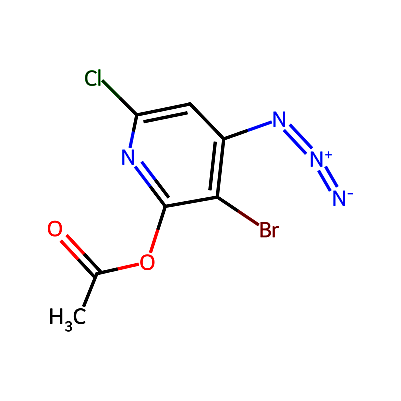 CC(=O)Oc1nc(Cl)cc(N=[N+]=[N-])c1Br